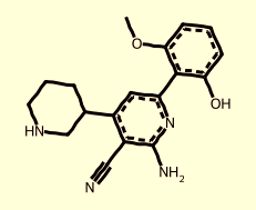 COc1cccc(O)c1-c1cc(C2CCCNC2)c(C#N)c(N)n1